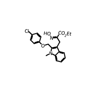 CCOC(=O)C(Cc1c(COc2ccc(Cl)cc2)n(C)c2ccccc12)=NO